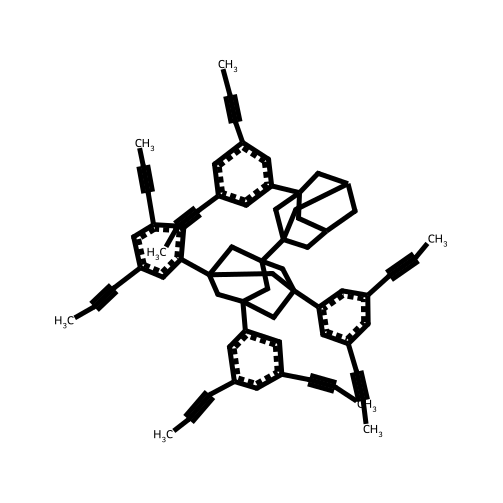 CC#Cc1cc(C#CC)cc(C23CC4CC(C2)CC(C25CC6(c7cc(C#CC)cc(C#CC)c7)CC(c7cc(C#CC)cc(C#CC)c7)(CC(c7cc(C#CC)cc(C#CC)c7)(C6)C2)C5)(C4)C3)c1